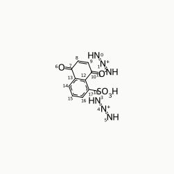 N=[N+]=N.N=[N+]=N.O=C1C=CC(=O)c2c1cccc2S(=O)(=O)O